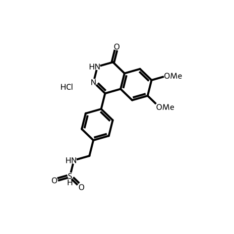 COc1cc2c(-c3ccc(CN[SH](=O)=O)cc3)n[nH]c(=O)c2cc1OC.Cl